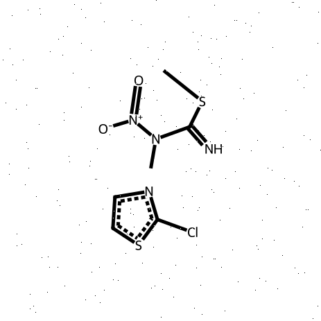 CSC(=N)N(C)[N+](=O)[O-].Clc1nccs1